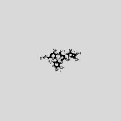 [N-]=[N+]=NCC1CC(O)C(N)C(OC2C(N)CC(N)C(O)C2OC2OC(CO)C(OC3OC4C(O)C(O)C4C3N)C2O)O1